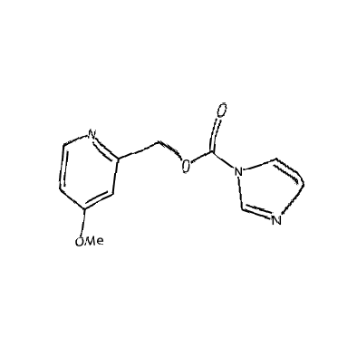 COc1ccnc(COC(=O)n2ccnc2)c1